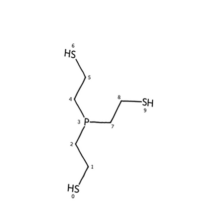 SCCP(CCS)CCS